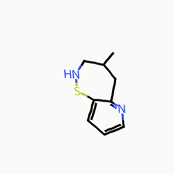 CC1CNSc2cccnc2C1